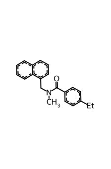 CCc1ccc(C(=O)N(C)Cc2cccc3ccccc23)cc1